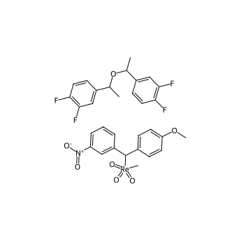 CC(OC(C)c1ccc(F)c(F)c1)c1ccc(F)c(F)c1.COc1ccc([CH](c2cccc([N+](=O)[O-])c2)[Re]([CH3])(=[O])(=[O])=[O])cc1